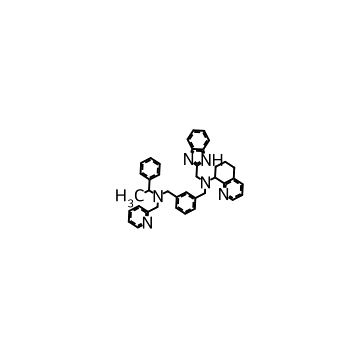 CC(c1ccccc1)N(Cc1cccc(CN(Cc2nc3ccccc3[nH]2)C2CCCc3cccnc32)c1)Cc1ccccn1